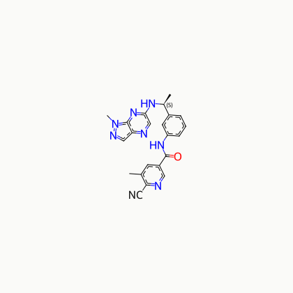 Cc1cc(C(=O)Nc2cccc([C@H](C)Nc3cnc4cnn(C)c4n3)c2)cnc1C#N